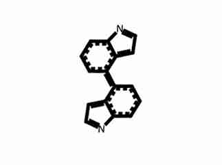 C1=Nc2cccc(=c3cccc4c3=CC=N4)c2=C1